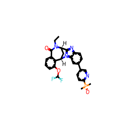 CCN1C(=O)c2cccc(OC(F)F)c2[C@H]2C[C@@H]1c1nc3ccc(-c4ccc(P(C)(C)=O)nc4)cc3n12